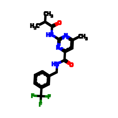 Cc1cc(C(=O)NCc2cccc(C(F)(F)F)c2)nc(NC(=O)C(C)C)n1